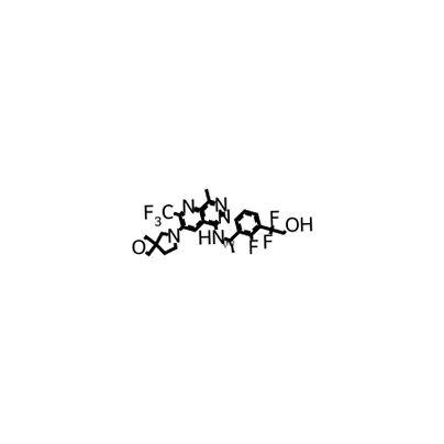 Cc1nnc(N[C@H](C)c2cccc(C(F)(F)CO)c2F)c2cc(N3CCC4(COC4)C3)c(C(F)(F)F)nc12